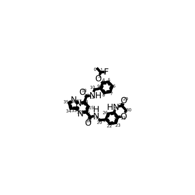 CC(F)Oc1ccccc1CNC(=O)c1cc(C(=O)NCc2ccc3c(c2)NC(=O)CO3)nc2ccnn12